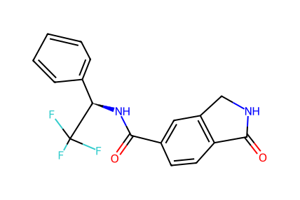 O=C(N[C@H](c1ccccc1)C(F)(F)F)c1ccc2c(c1)CNC2=O